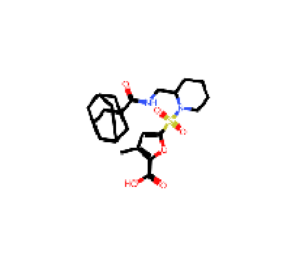 Cc1cc(S(=O)(=O)N2CCCCC2CNC(=O)C23CC4CC(CC(C4)C2)C3)oc1C(=O)O